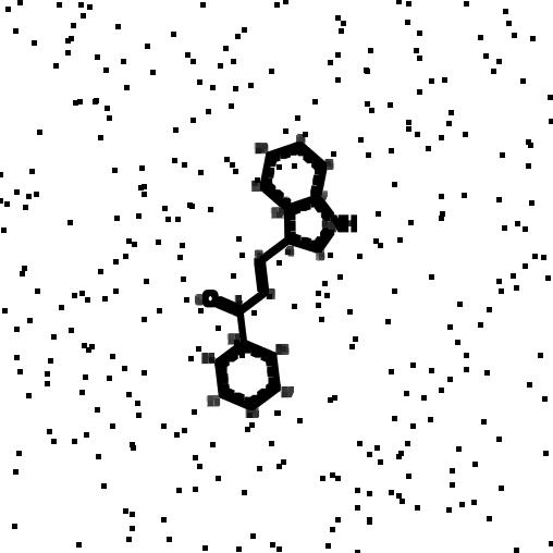 O=C(/C=C/c1c[nH]c2ccccc12)c1ccccc1